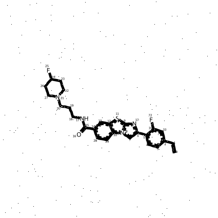 C=Cc1ccc(-c2cn3c(n2)sc2cc(C(=O)NCCCN4CCC(F)CC4)ccc23)c(F)c1